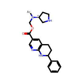 CC(=O)N(COC(=O)c1cnc2c(c1)CCC(c1ccccc1)N2)[C@H]1CCNC1